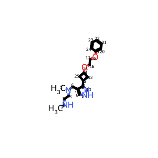 CNCCN(C)Cc1c[nH]nc1C1CC(OCCOc2ccccc2)C1